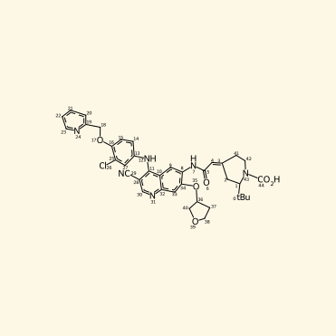 CC(C)(C)C1CC(=CC(=O)Nc2cc3c(Nc4ccc(OCc5ccccn5)c(Cl)c4)c(C#N)cnc3cc2OC2CCOC2)CCN1C(=O)O